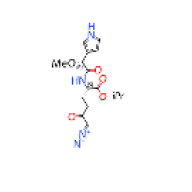 CO[C@@H](C(=O)N[C@@H](CCC(=O)C=[N+]=[N-])C(=O)OC(C)C)c1cc[nH]c1